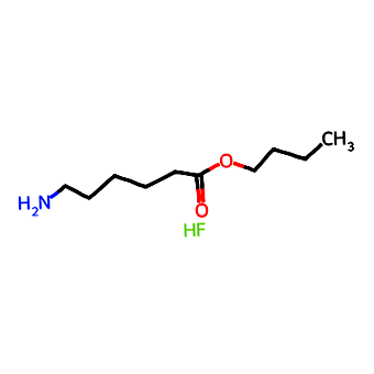 CCCCOC(=O)CCCCCN.F